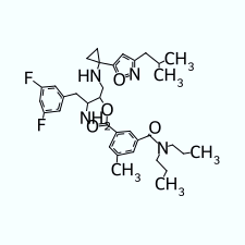 CCCN(CCC)C(=O)c1cc(C)cc(C(=O)OC(CNC2(c3cc(CC(C)C)no3)CC2)C(N)Cc2cc(F)cc(F)c2)c1